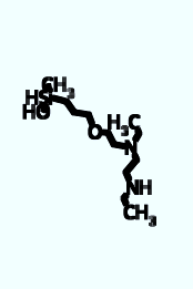 CCNCCN(CC)CCOCCC[SiH](C)O